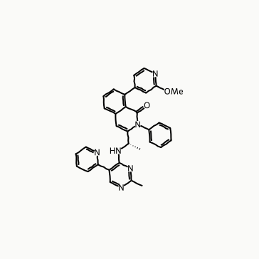 COc1cc(-c2cccc3cc([C@H](C)Nc4nc(C)ncc4-c4ccccn4)n(-c4ccccc4)c(=O)c23)ccn1